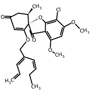 C=C/C=C(\C=C/CC)COC1=CC(=O)C[C@@H](C)[C@]12Oc1c(Cl)c(OC)cc(OC)c1C2=O